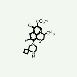 CC1CSc2c(N3CCNC4(CCC4)C3)c(F)cc3c(=O)c(C(=O)O)cn1c23